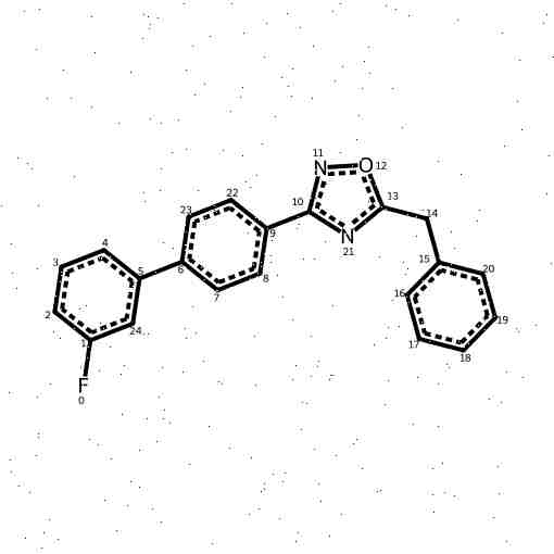 Fc1cccc(-c2ccc(-c3noc(Cc4ccccc4)n3)cc2)c1